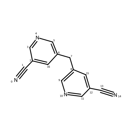 N#Cc1cncc(Cc2cncc(C#N)c2)c1